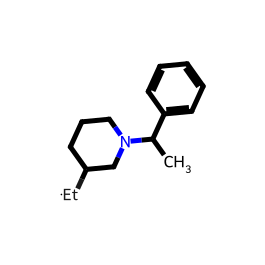 C[CH]C1CCCN(C(C)c2ccccc2)C1